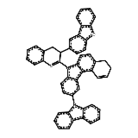 C1=Cc2c(ccc3c2c2cc(-n4c5ccccc5c5ccccc54)ccc2n3C2=Nc3ccccc3CC2c2ccc3oc4ccccc4c3c2)CC1